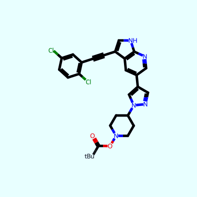 CC(C)(C)C(=O)ON1CCC(n2cc(-c3cnc4[nH]cc(C#Cc5cc(Cl)ccc5Cl)c4c3)cn2)CC1